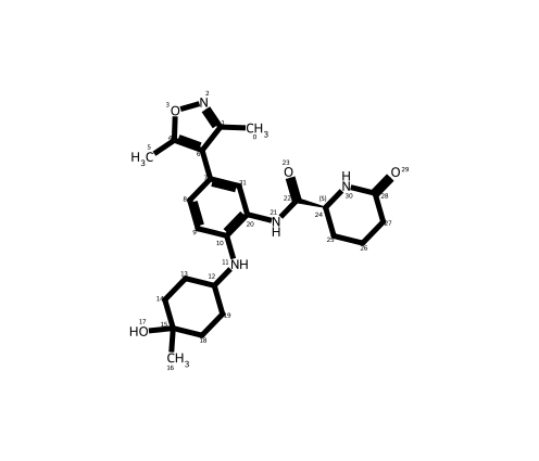 Cc1noc(C)c1-c1ccc(NC2CCC(C)(O)CC2)c(NC(=O)[C@@H]2CCCC(=O)N2)c1